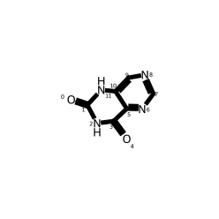 O=c1[nH]c(=O)c2ncncc2[nH]1